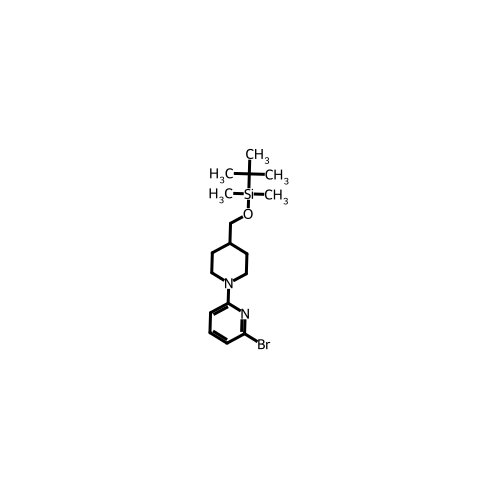 CC(C)(C)[Si](C)(C)OCC1CCN(c2cccc(Br)n2)CC1